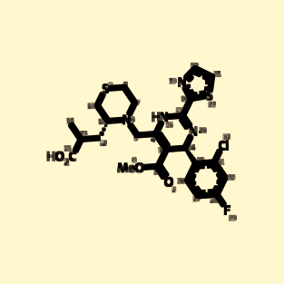 COC(=O)C1=C(CN2CCSC[C@H]2CC(C)C(=O)O)NC(c2nccs2)=N[C@H]1c1ccc(F)cc1Cl